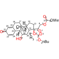 CCCCOC(=O)O[C@]1(C(=O)COC(=O)OC)CC[C@H]2[C@@H]3CCC4=CC(=O)C=C[C@]4(C)[C@H]3C(O)C[C@@]21C